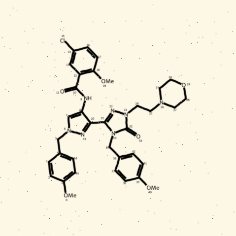 COc1ccc(Cn2cc(NC(=O)c3cc(Cl)ccc3OC)c(-c3nn(CCN4CCOCC4)c(=O)n3Cc3ccc(OC)cc3)n2)cc1